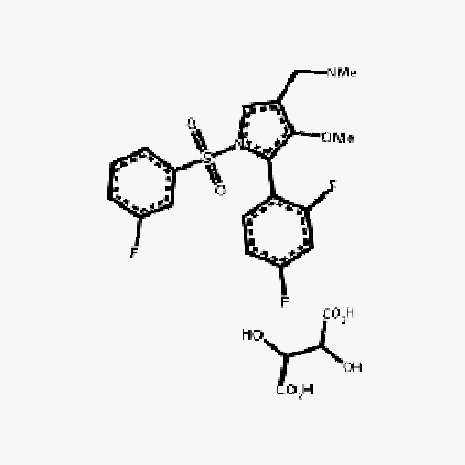 CNCc1cn(S(=O)(=O)c2cccc(F)c2)c(-c2ccc(F)cc2F)c1OC.O=C(O)C(O)C(O)C(=O)O